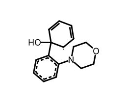 OC1(c2ccccc2N2CCOCC2)[CH]C=CC=C1